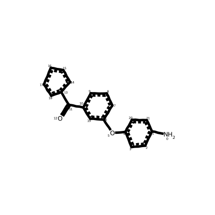 Nc1ccc(Oc2cccc(C(=O)c3cc[c]cc3)c2)cc1